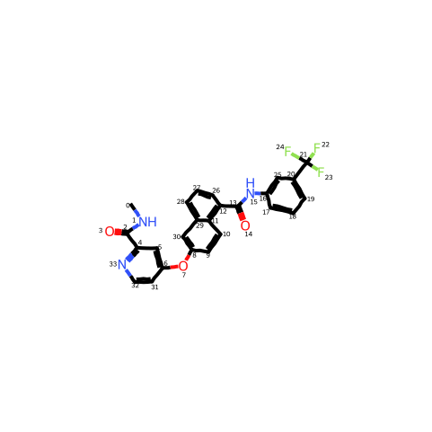 CNC(=O)c1cc(Oc2ccc3c(C(=O)Nc4cccc(C(F)(F)F)c4)cccc3c2)ccn1